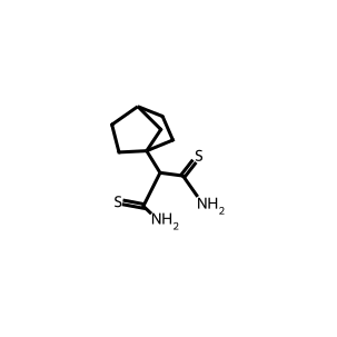 NC(=S)C(C(N)=S)C12CCC(CC1)C2